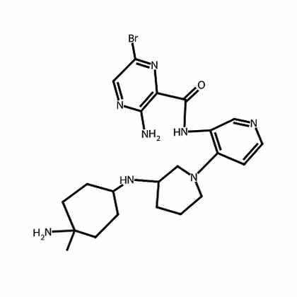 CC1(N)CCC(NC2CCCN(c3ccncc3NC(=O)c3nc(Br)cnc3N)C2)CC1